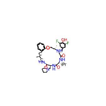 CC(C)[C@H]1NC(=O)[C@@H](Cc2cc(F)c(O)c(F)c2)N[C@@H](C)COc2ccccc2C[C@H](C)CNC(=O)[C@H](CN2CCCC2)NC1=O